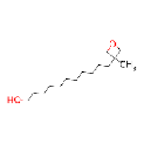 CC1(CCCCCCCCCCCO)COC1